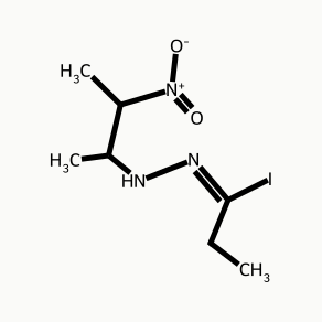 CC/C(I)=N\NC(C)C(C)[N+](=O)[O-]